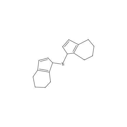 C1=C[CH]([Ti][CH]2C=CC3=C2CCCC3)C2=C1CCCC2